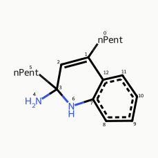 CCCCCC1=CC(N)(CCCCC)Nc2ccccc21